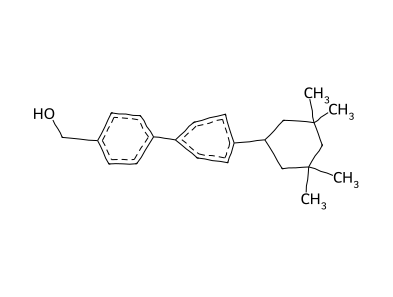 CC1(C)CC(c2ccc(-c3ccc(CO)cc3)cc2)CC(C)(C)C1